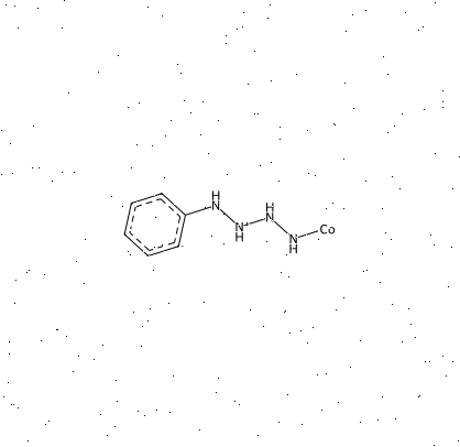 [Co][NH]NNNc1[c]cccc1